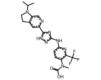 CC(C)N1CCc2cc(-c3nc(Nc4ccc(N(C)C(=O)O)c(C(F)(F)F)n4)n[nH]3)ncc21